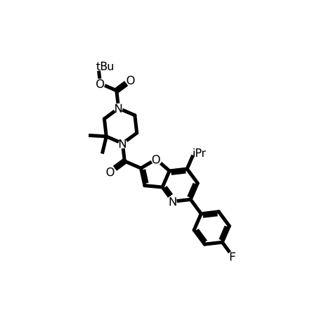 CC(C)c1cc(-c2ccc(F)cc2)nc2cc(C(=O)N3CCN(C(=O)OC(C)(C)C)CC3(C)C)oc12